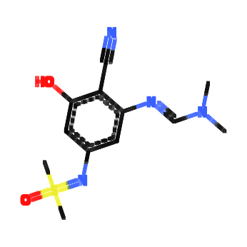 CN(C)C=Nc1cc(N=S(C)(C)=O)cc(O)c1C#N